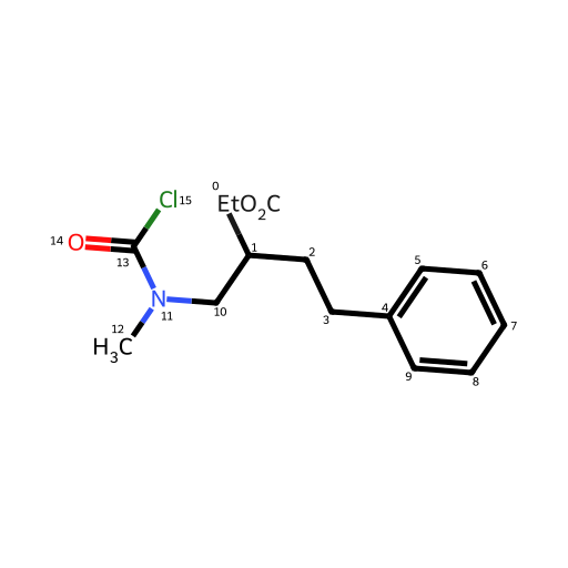 CCOC(=O)C(CCc1ccccc1)CN(C)C(=O)Cl